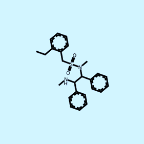 CCc1ccccc1CS(=O)(=O)N(C)C(c1ccccc1)C(NC)c1ccccc1